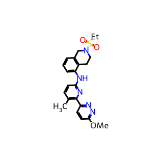 CCS(=O)(=O)N1CCc2c(cccc2Nc2ccc(C)c(-c3ccc(OC)nn3)n2)C1